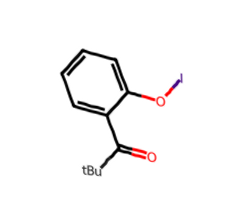 CC(C)(C)C(=O)c1ccccc1OI